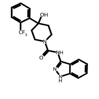 O=C(Nc1n[nH]c2ccccc12)N1CCC(O)(c2ccccc2C(F)(F)F)CC1